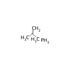 C=C(C)C.P